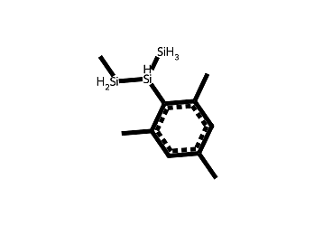 C[SiH2][SiH]([SiH3])c1c(C)cc(C)cc1C